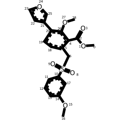 COC(=O)c1c(CS(=O)(=O)c2cccc(OC)c2)ccc(-c2ccoc2)c1OC